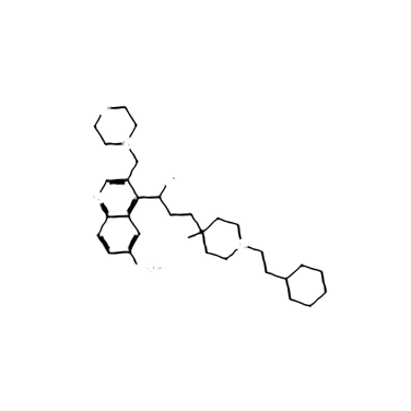 COc1ccc2ncc(CN3CCOCC3)c(C(O)CCC3(C(=O)O)CCN(CCC4CCCCC4)CC3)c2c1